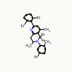 [2H]C1([2H])c2c(C)cc(-c3c(CC)cccc3CC)nc2CC(C)N1c1cc(C(C)C)ccc1C